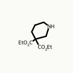 CCOC(=O)C1(C(=O)OCC)CCCNC1